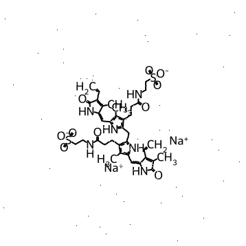 C=CC1=C(C)/C(=C\c2[nH]c(Cc3[nH]c(/C=C4/NC(=O)C(C)=C4C=C)c(C)c3CCC(=O)NCCS(=O)(=O)[O-])c(CCC(=O)NCCS(=O)(=O)[O-])c2C)NC1=O.[Na+].[Na+]